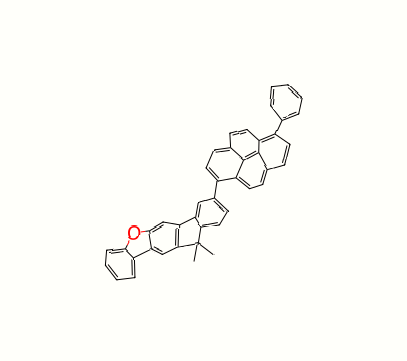 CC1(C)c2ccc(-c3ccc4ccc5c(-c6ccccc6)ccc6ccc3c4c65)cc2-c2cc3oc4ccccc4c3cc21